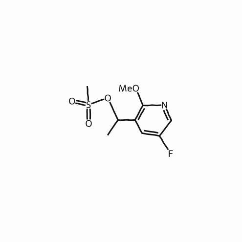 COc1ncc(F)cc1C(C)OS(C)(=O)=O